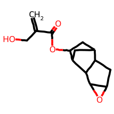 C=C(CO)C(=O)OC1CC2CC1C1C2CC2OC21